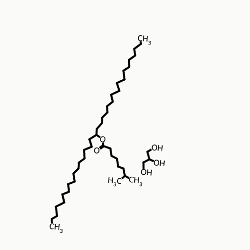 CCCCCCCCCCCCCCCCCC(CCCCCCCCCCCCCCCC)OC(=O)CCCCCC(C)C.OCC(O)CO